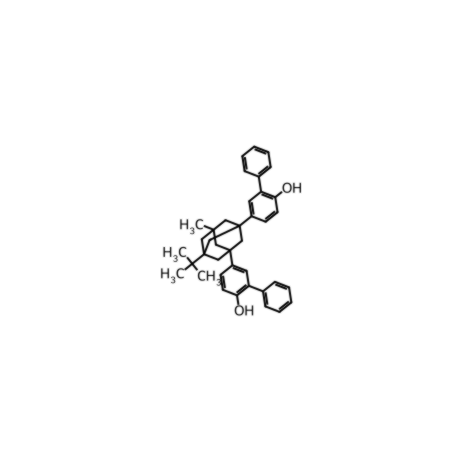 CC12CC3(c4ccc(O)c(-c5ccccc5)c4)CC(c4ccc(O)c(-c5ccccc5)c4)(C1)CC(C(C)(C)C)(C2)C3